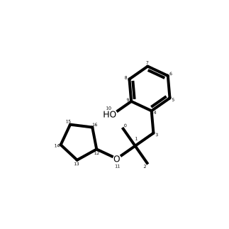 CC(C)(Cc1ccccc1O)OC1CCCC1